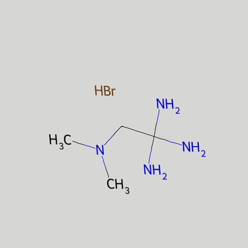 Br.CN(C)CC(N)(N)N